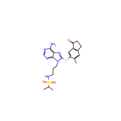 Cc1cc2c(cc1Sc1nc3c(N)ncnc3n1CCCNS(=O)(=O)C(C)C)C(=O)CC2